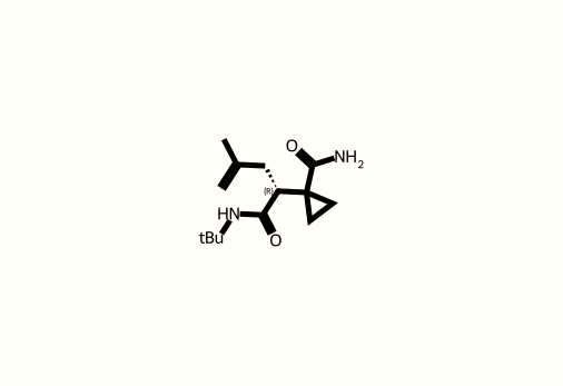 C=C(C)C[C@@H](C(=O)NC(C)(C)C)C1(C(N)=O)CC1